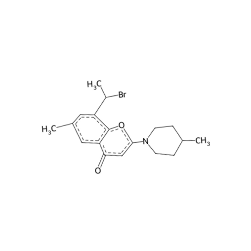 Cc1cc(C(C)Br)c2oc(N3CCC(C)CC3)cc(=O)c2c1